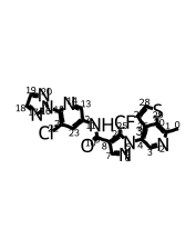 Cc1ncc(-n2ncc(C(=O)Nc3cnc(-n4nccn4)c(Cl)c3)c2C(F)(F)F)c2ccsc12